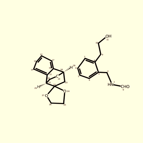 O=CNCc1ccccc1CCO.c1ccc2c(c1)[C@@H]1CC[C@H]2C2(C1)OCCO2